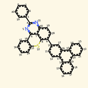 c1ccc(-c2nc3c4c(c(-c5ccc6c7ccccc7c7ccccc7c6c5)ccc4n2)Sc2ccccc2-3)cc1